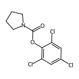 O=C(Oc1c(Cl)cc(Cl)cc1Cl)N1CCCC1